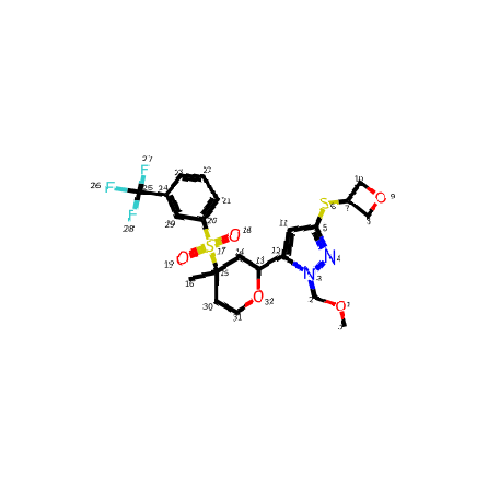 COCn1nc(SC2COC2)cc1C1CC(C)(S(=O)(=O)c2cccc(C(F)(F)F)c2)CCO1